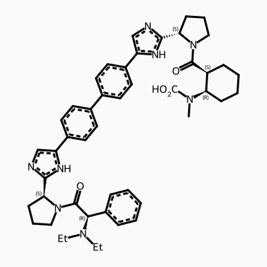 CCN(CC)[C@@H](C(=O)N1CCC[C@H]1c1ncc(-c2ccc(-c3ccc(-c4cnc([C@@H]5CCCN5C(=O)[C@H]5CCCC[C@H]5N(C)C(=O)O)[nH]4)cc3)cc2)[nH]1)c1ccccc1